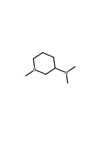 [CH2]N1CCCC(N(C)C)C1